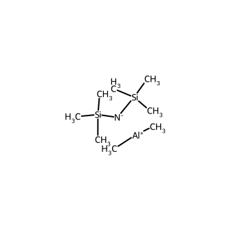 C[Si](C)(C)[N-][Si](C)(C)C.[CH3][Al+][CH3]